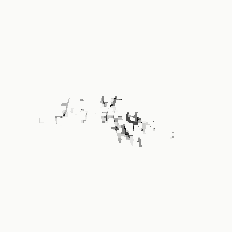 CO/N=C(\C(=O)N[C@@H]1C(=O)N2C(C(=O)O)=C(Cc3c(C)ccc(CSC(C)=O)c3C)CS[C@H]12)c1csc(N)n1